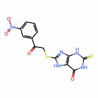 O=C(CSc1nc2[nH]c(=S)[nH]c(=O)c2[nH]1)c1cccc([N+](=O)[O-])c1